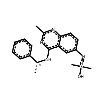 Cc1nc(N[C@H](C)c2ccccc2)c2cc(N=[SH](C)(C)O)ccc2n1